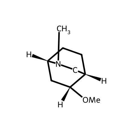 CO[C@@H]1C[C@@H]2CC[C@H]1CN2C